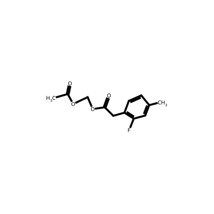 CC(=O)OCOC(=O)Cc1ccc(C)cc1F